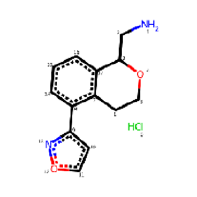 Cl.NCC1OCCc2c(-c3ccon3)cccc21